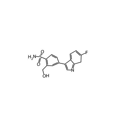 NS(=O)(=O)c1ccc(C2=CN=C3CC(F)=CC=C23)cc1CO